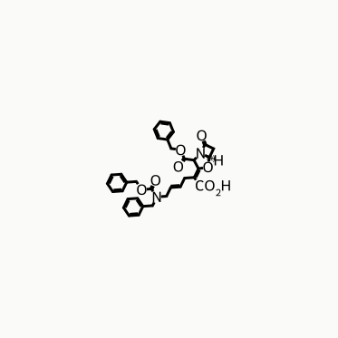 O=C(O)C(CC=CCN(Cc1ccccc1)C(=O)OCc1ccccc1)=C1O[C@@H]2CC(=O)N2C1C(=O)OCc1ccccc1